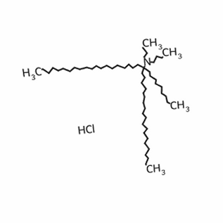 CCCCCCCCCCCCCCCCCCCCC(CCCCCCCCC)(CCCCCCCCCCCCCCCCCCCC)N(CCCC)CCCC.Cl